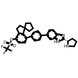 O=S(=O)(Oc1ccc(-c2ccc(-c3ccc4nc([C@@H]5CCCN5)[nH]c4c3)cc2)c2c1CCC21CCCC1)C(F)(F)F